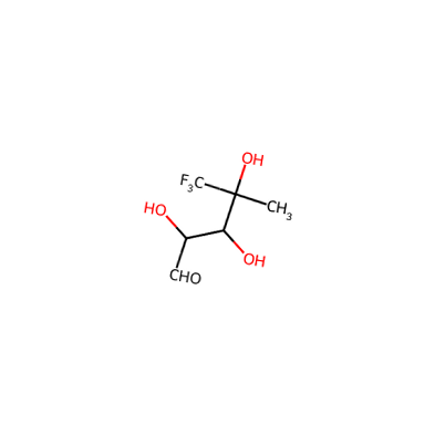 CC(O)(C(O)C(O)C=O)C(F)(F)F